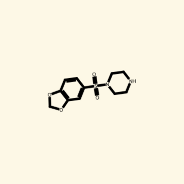 O=S(=O)(c1ccc2c(c1)OCO2)N1CCNCC1